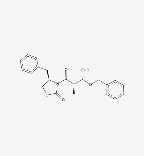 C[C@@H](C(=O)N1C(=O)OC[C@H]1Cc1ccccc1)[C@H](C=O)OCc1ccccc1